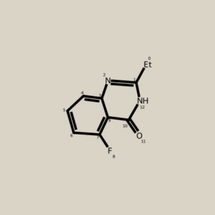 CCc1nc2cccc(F)c2c(=O)[nH]1